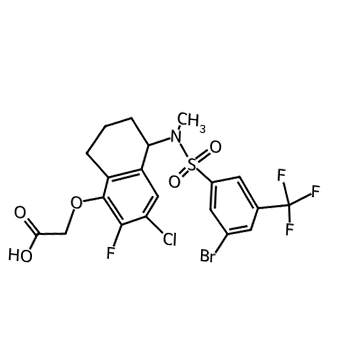 CN(C1CCCc2c1cc(Cl)c(F)c2OCC(=O)O)S(=O)(=O)c1cc(Br)cc(C(F)(F)F)c1